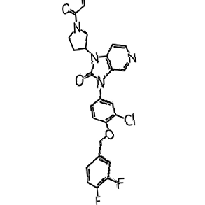 C=CC(=O)N1CCC(n2c(=O)n(-c3ccc(OCc4ccc(F)c(F)c4)c(Cl)c3)c3cnccc32)C1